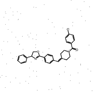 O=C(c1ccc(Cl)cc1)N1CCC(=Cc2ccc(C3=NC(c4ccccc4)CO3)cc2)CC1